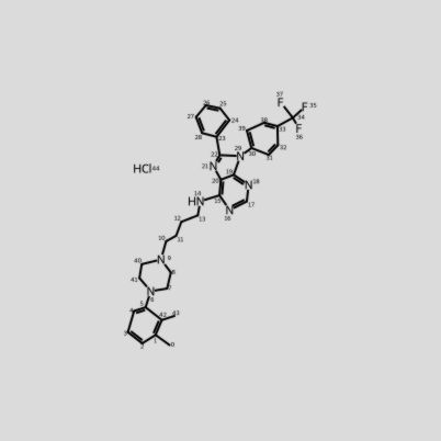 Cc1cccc(N2CCN(CCCCNc3ncnc4c3nc(-c3ccccc3)n4-c3ccc(C(F)(F)F)cc3)CC2)c1C.Cl